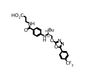 CC[C@H](C)[C@@H](COc1nnc(-c2ccc(C(F)(F)F)cc2)o1)Nc1ccc(C(=O)NCCC(=O)O)cc1